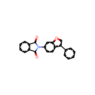 O=C1c2ccccc2C(=O)N1c1ccc2c(-c3ccccc3)coc2c1